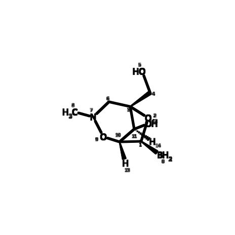 B[C@@H]1O[C@@]2(CO)CN(C)O[C@@H]1[C@@H]2O